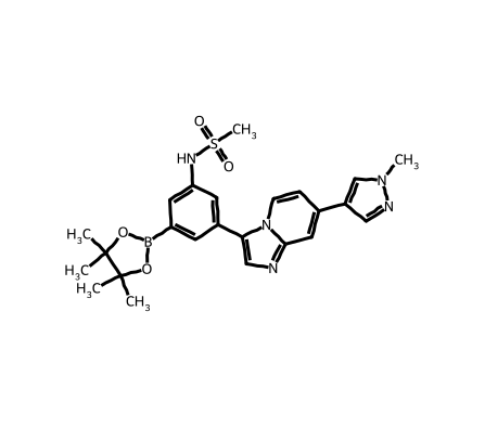 Cn1cc(-c2ccn3c(-c4cc(NS(C)(=O)=O)cc(B5OC(C)(C)C(C)(C)O5)c4)cnc3c2)cn1